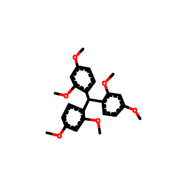 COc1ccc(C(c2ccc(OC)cc2OC)c2ccc(OC)cc2OC)c(OC)c1